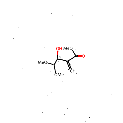 C=C(C(=O)OC)[C@H](O)C(OC)OC